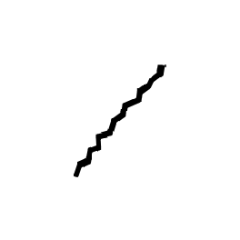 [CH]=CCC=CCCCCCCCCC=CC